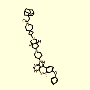 Nc1ncnc2c1c(-c1ccc(Oc3ccccc3)cc1)nn2C1CCN(C2C[C@@H]3CN(C4CC5(CCN(C(=O)CC67CC8CC(CC(C8)C6)C7)CC5)C4)C[C@@H]3C2)CC1